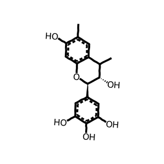 Cc1cc2c(cc1O)O[C@H](c1cc(O)c(O)c(O)c1)[C@@H](O)C2C